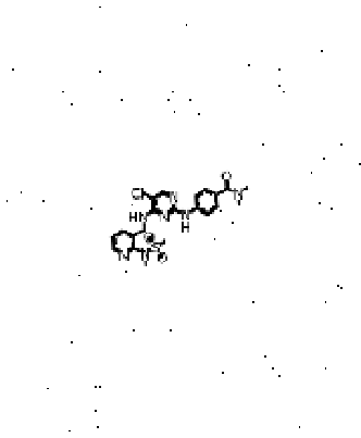 CN(C)C(=O)c1ccc(Nc2ncc(Cl)c(NCc3cccnc3N(C)S(C)(=O)=O)n2)cc1